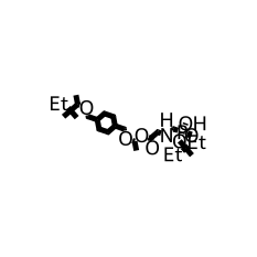 CCC(C)(CC)OP(=O)(O)CNCC(=O)OC(C)OCC1CCC(COC(C)C(C)(C)CC)CC1